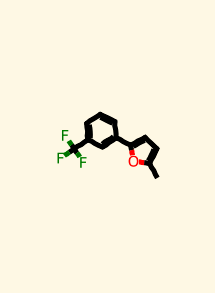 Cc1ccc(-c2cccc(C(F)(F)F)c2)o1